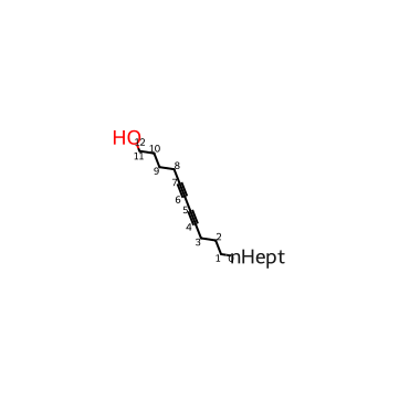 CCCCCCCCCCC#CC#CCCCCO